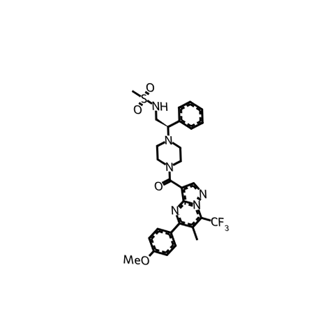 COc1ccc(-c2nc3c(C(=O)N4CCN([C@@H](CNS(C)(=O)=O)c5ccccc5)CC4)cnn3c(C(F)(F)F)c2C)cc1